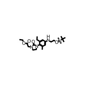 CCOC(=O)CN1CCN(c2c(C)cc(NCCO[Si](C)(C)C(C)(C)C)cc2CC)C1=O